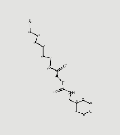 O=C(CCC(=O)OCCCCCCO)NCC1CCCCC1